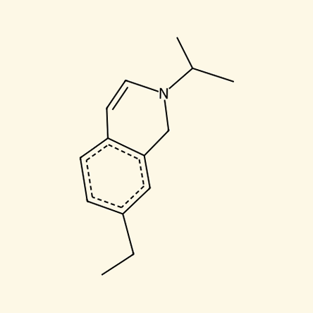 CCc1ccc2c(c1)CN(C(C)C)C=C2